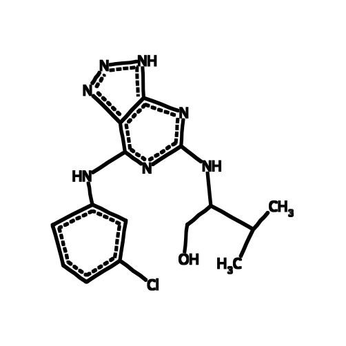 CC(C)C(CO)Nc1nc(Nc2cccc(Cl)c2)c2nn[nH]c2n1